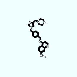 Cc1ccc2c(SCc3ccc(Cn4cnc(CN5CCOCC5)c4)cc3)ccnc2c1